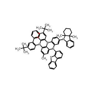 Cc1cc2c3c(c1)N(c1cccc4c1sc1ccccc14)c1cc(N4c5ccccc5C5(C)CCCCC45C)ccc1B3c1cc(C(C)(C)C)ccc1N2c1ccc(C(C)(C)C)cc1-c1ccccc1